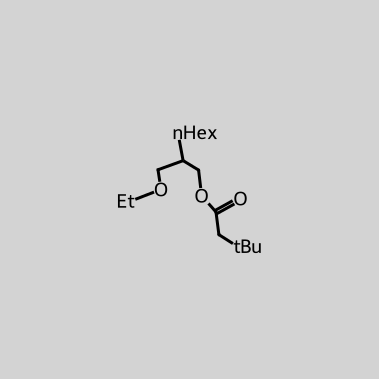 CCCCCCC(COCC)COC(=O)CC(C)(C)C